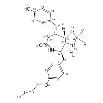 CCCCOc1ccc(C[C@H]2NC(=O)N[C@H](Cc3ccc(O)cc3)[C@@H]3OC(C)(C)O[C@H]32)cc1